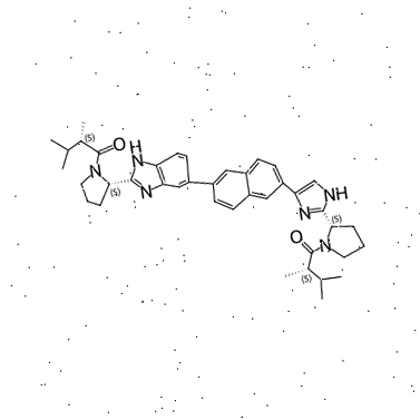 CC(C)[C@H](C)C(=O)N1CCC[C@H]1c1nc(-c2ccc3cc(-c4ccc5[nH]c([C@@H]6CCCN6C(=O)[C@@H](C)C(C)C)nc5c4)ccc3c2)c[nH]1